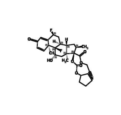 C[C@@H]1C[C@H]2[C@@H]3C[C@H](F)C4=CC(=O)C=C[C@]4(C)[C@@]3(F)[C@@H](O)C[C@]2(C)[C@@]1(OC(=O)OC1CCCC1)C(=O)OCC#N